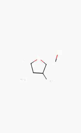 COC1[C@@H](CO)O[C@@H](C)[C@H]1OC